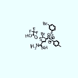 Cc1ccc(S(=O)(=O)[N+](OSc2cccc(Br)c2)=C2C=C(C(=N)N)SC2Br)cc1.O=C(O)C(F)(F)F